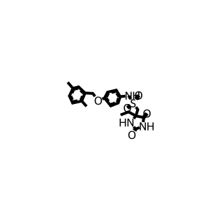 CCC1(CS(=O)(=O)Nc2ccc(OCc3cc(C)ccc3C)cc2)NC(=O)NC1=O